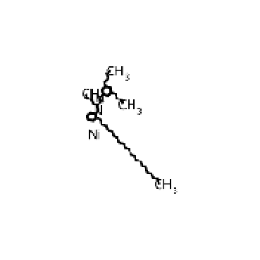 CCCCCCCCCCCCCCCCC/C=C/CCCc1ccccc1/N=C(/C=N/c1cc(CCCC)cc(CCCC)c1)CCCC.[Ni]